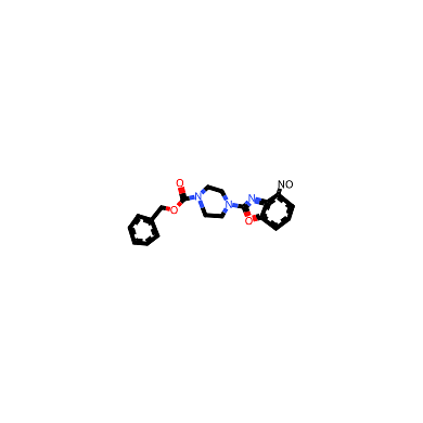 O=Nc1cccc2oc(N3CCN(C(=O)OCc4ccccc4)CC3)nc12